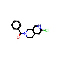 O=C(c1ccccc1)N1CCc2cc(Cl)ncc2C1